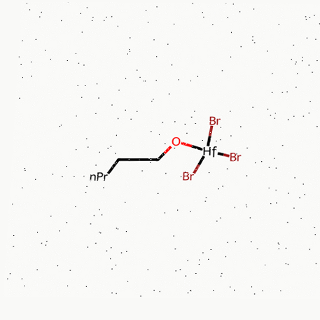 CCCCC[O][Hf]([Br])([Br])[Br]